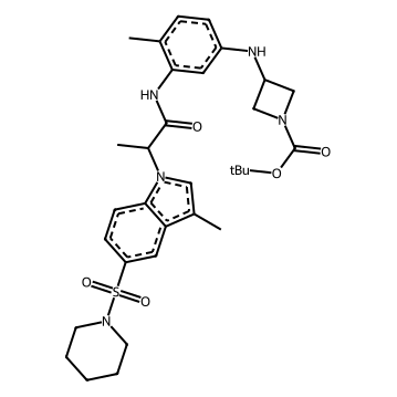 Cc1ccc(NC2CN(C(=O)OC(C)(C)C)C2)cc1NC(=O)C(C)n1cc(C)c2cc(S(=O)(=O)N3CCCCC3)ccc21